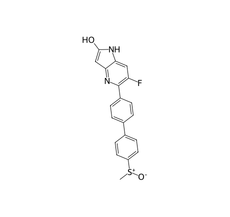 C[S+]([O-])c1ccc(-c2ccc(-c3nc4cc(O)[nH]c4cc3F)cc2)cc1